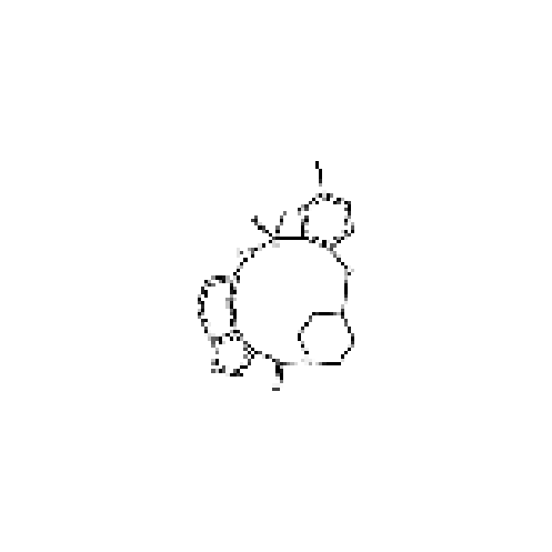 C=C1c2cnn3ccc(nc23)N[C@H](C)c2cc(F)ccc2OC2CCN1CC2